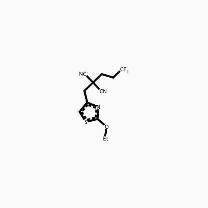 CCOc1nc(CC(C#N)(C#N)CCC(F)(F)F)cs1